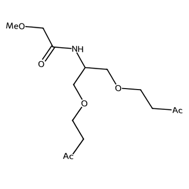 COCC(=O)NC(COCCC(C)=O)COCCC(C)=O